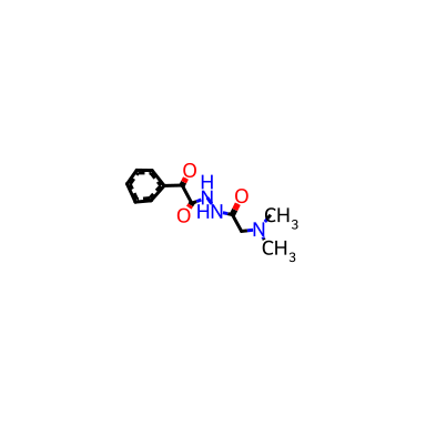 CN(C)CC(=O)NNC(=O)C(=O)c1ccccc1